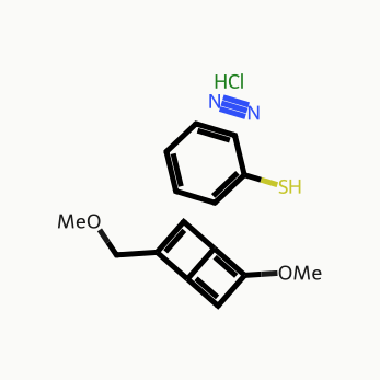 COCc1cc2c(OC)cc1-2.Cl.N#N.Sc1ccccc1